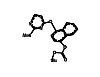 CSc1nccc(Oc2ccc(OC(=O)OC(C)(C)C)c3ccccc23)n1